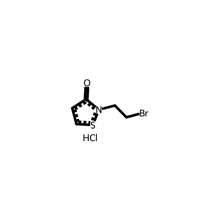 Cl.O=c1ccsn1CCBr